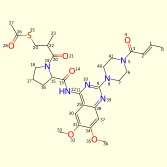 CC=CC(=O)N1CCN(c2nc(NC(=O)C3CCCN3C(=O)C(C)CSC(C)=O)c3cc(OC)c(OC)cc3n2)CC1